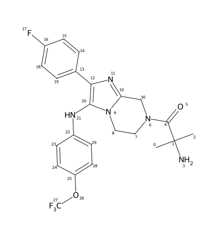 CC(C)(N)C(=O)N1CCn2c(nc(-c3ccc(F)cc3)c2Nc2ccc(OC(F)(F)F)cc2)C1